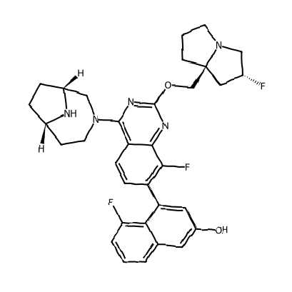 Oc1cc(-c2ccc3c(N4CC[C@@H]5CC[C@H](C4)N5)nc(OC[C@@]45CCCN4C[C@H](F)C5)nc3c2F)c2c(F)cccc2c1